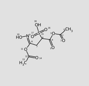 CC(=O)OC(=O)C(C/C(=N/O)OC(C)=O)S(=O)(=O)O